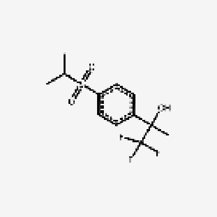 CC(C)S(=O)(=O)c1ccc(C(C)(O)C(F)(F)F)cc1